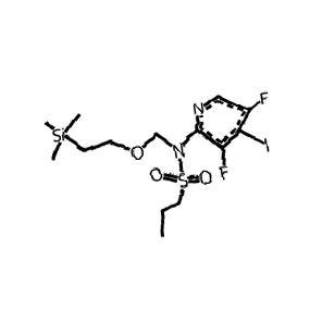 CCCS(=O)(=O)N(COCC[Si](C)(C)C)c1ncc(F)c(I)c1F